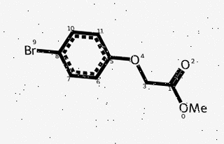 COC(=O)COc1[c]cc(Br)cc1